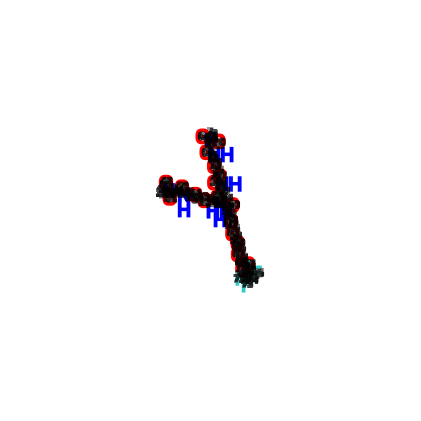 O=C(CCN1C(=O)C=CC1=O)NCCOCCOC(=O)NCCCCC(NC(=O)CCOCCOCCNC(=O)CCN1C(=O)CCC1=O)C(=O)NCCOCCOCCOCCOCCC(=O)Oc1c(F)c(F)cc(F)c1F